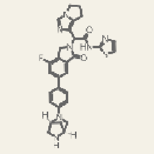 O=C(Nc1nccs1)C(c1ncn2c1CCC2)N1Cc2c(F)cc(-c3ccc(N4C[C@@H]5C[C@H]4CN5)cc3)cc2C1=O